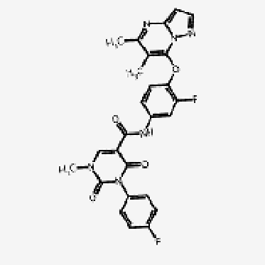 Cc1nc2ccnn2c(Oc2ccc(NC(=O)c3cn(C)c(=O)n(-c4ccc(F)cc4)c3=O)cc2F)c1C